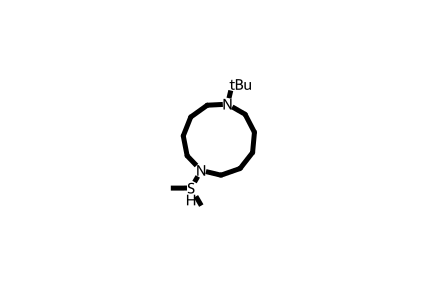 C[SH](C)N1CCCCCN(C(C)(C)C)CCCC1